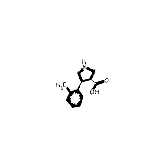 Cc1ccccc1[C@H]1CNC[C@@H]1C(=O)O